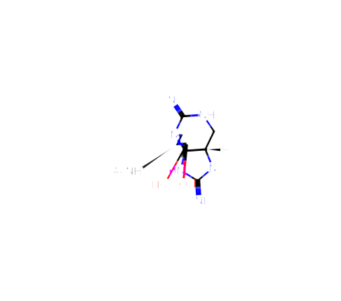 CC(=O)N[C@H]1CN2C(=N)NC[C@@H]3NC(=N)NC32C1(O)O